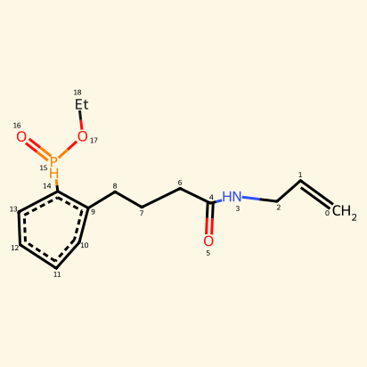 C=CCNC(=O)CCCc1ccccc1[PH](=O)OCC